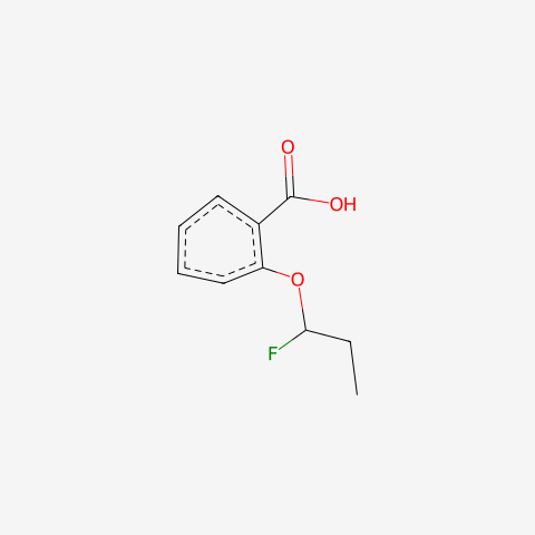 CCC(F)Oc1ccccc1C(=O)O